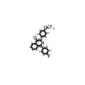 O=c1c2ccccc2c(-c2ccc(F)cc2)nn1-c1ccc(OC(F)(F)F)cc1